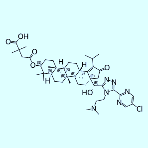 CC(C)C1=C2[C@H]3CC[C@@H]4[C@@]5(C)CC[C@H](OC(=O)CC(C)(C)C(=O)O)C(C)(C)[C@@H]5CC[C@@]4(C)[C@]3(C)CC[C@@]2([C@@H](O)c2nnc(-c3ncc(Cl)cn3)n2CCN(C)C)CC1=O